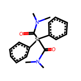 CN(C)C(=O)[Si](C(=O)N(C)C)(c1ccccc1)c1ccccc1